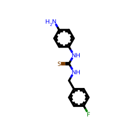 Nc1ccc(NC(=S)NCc2ccc(F)cc2)cc1